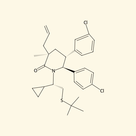 C=CC[C@@]1(C)C[C@H](c2cccc(Cl)c2)[C@@H](c2ccc(Cl)cc2)N([C@H](CSC(C)(C)C)C2CC2)C1=O